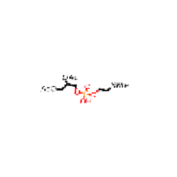 CNCCOP(=O)(O)OCC(COC(C)=O)OC(C)=O